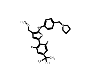 CC(C)(O)c1cc(F)c(-c2cc(CON)c(Nc3ccc(CN4CCCC4)cc3)s2)c(F)c1